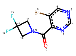 O=C(c1ncncc1Br)N1CC(F)(F)C1